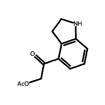 CC(=O)OCC(=O)c1cccc2c1CCN2